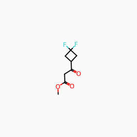 COC(=O)CC(=O)C1CC(F)(F)C1